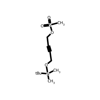 CC(C)(C)[Si](C)(C)OCC#CCOS(C)(=O)=O